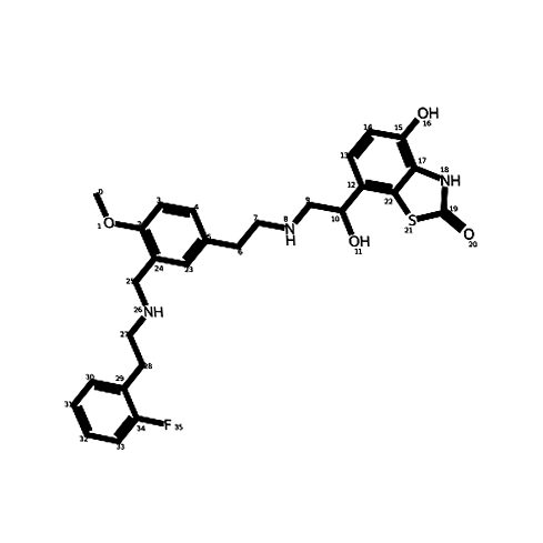 COc1ccc(CCNCC(O)c2ccc(O)c3[nH]c(=O)sc23)cc1CNCCc1ccccc1F